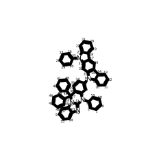 c1ccc(N2c3cc(-n4c5ccccc5c5cc6c7ccccc7n(-c7ccccc7)c6cc54)ccc3C(c3ccccc3)(c3ccccc3)n3c2nc2ccccc23)cc1